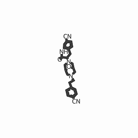 N#Cc1ccc(CCN2CC3CN(C(Cc4ccc(C#N)cc4)C(N)=O)CC(C2)O3)cc1